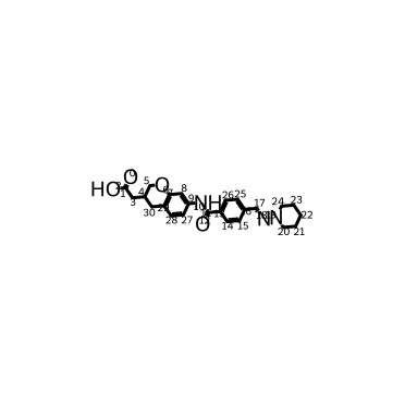 O=C(O)CC1COc2cc(NC(=O)c3ccc(C=NN4CCCCC4)cc3)ccc2C1